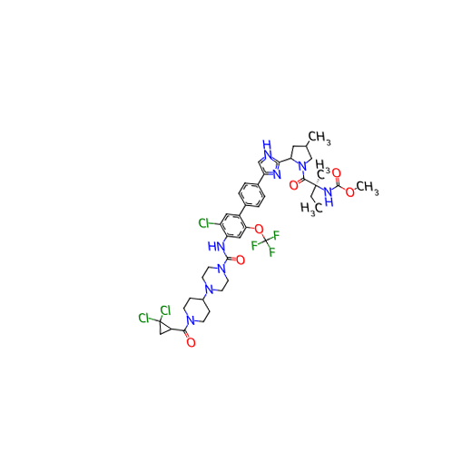 CC[C@](C)(NC(=O)OC)C(=O)N1CC(C)CC1c1nc(-c2ccc(-c3cc(Cl)c(NC(=O)N4CCN(C5CCN(C(=O)C6CC6(Cl)Cl)CC5)CC4)cc3OC(F)(F)F)cc2)c[nH]1